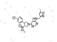 Cc1cc(CNc2cc(N3CC(N)C(c4ccc(Cl)cc4Cl)C3)ncn2)no1